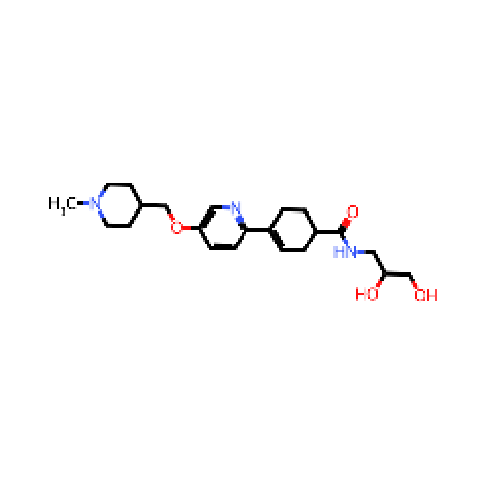 CN1CCC(COc2ccc(C3=CCC(C(=O)NCC(O)CO)CC3)nc2)CC1